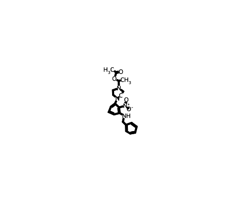 CC(=O)OC(C)N1CCN(c2cccc(NCc3ccccc3)c2[N+](=O)[O-])CC1